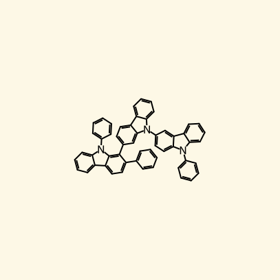 c1ccc(-c2ccc3c4ccccc4n(-c4ccccc4)c3c2-c2ccc3c4ccccc4n(-c4ccc5c(c4)c4ccccc4n5-c4ccccc4)c3c2)cc1